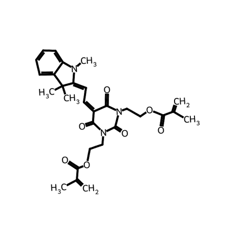 C=C(C)C(=O)OCCN1C(=O)C(=C/C=C2/N(C)c3ccccc3C2(C)C)C(=O)N(CCOC(=O)C(=C)C)C1=O